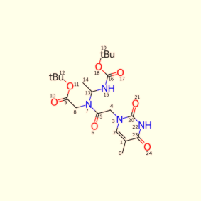 Cc1cn(CC(=O)N(CC(=O)OC(C)(C)C)C(C)NC(=O)OC(C)(C)C)c(=O)[nH]c1=O